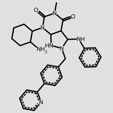 CN1C(=O)C2C(Nc3ccccc3)N(Cc3ccc(-c4ccccn4)cc3)NC2N(C2CCCCC2N)C1=O